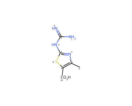 Cc1nc(NC(=N)N)sc1C(=O)O